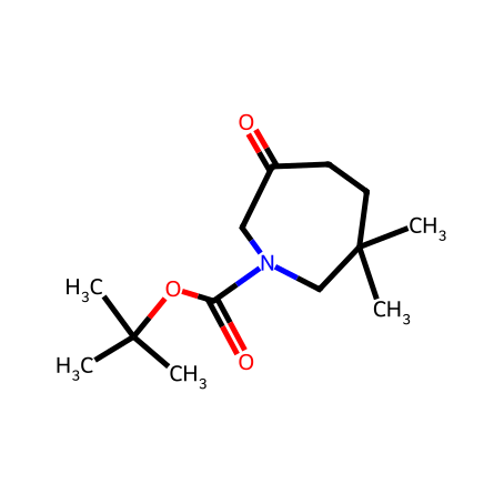 CC1(C)CCC(=O)CN(C(=O)OC(C)(C)C)C1